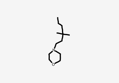 CCCC(C)(C)CCN1CCOCC1